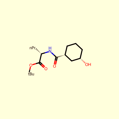 CCC[C@H](NC(=O)[C@@H]1CCC[C@H](O)C1)C(=O)OC(C)(C)C